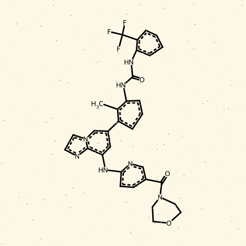 Cc1c(NC(=O)Nc2ccccc2C(F)(F)F)cccc1-c1cc(Nc2ccc(C(=O)N3CCOCC3)cn2)c2nccn2c1